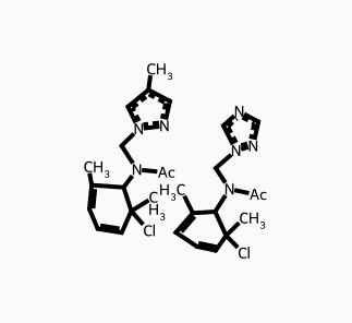 CC(=O)N(Cn1cc(C)cn1)C1C(C)=CC=CC1(C)Cl.CC(=O)N(Cn1cncn1)C1C(C)=CC=CC1(C)Cl